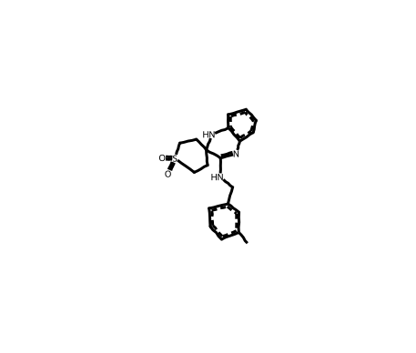 Cc1cccc(CNC2=Nc3ccccc3NC23CCS(=O)(=O)CC3)c1